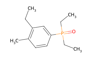 CCc1cc(P(=O)(CC)CC)ccc1C